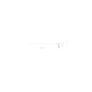 Br.CCCCCCCCCCCCCCCCNCC(O)(O)O